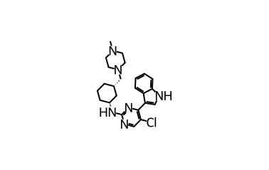 CN1CCN(C[C@H]2CCC[C@@H](Nc3ncc(Cl)c(-c4c[nH]c5ccccc45)n3)C2)CC1